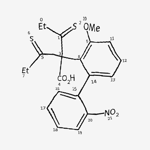 CCC(=S)C(C(=O)O)(C(=S)CC)c1c(OC)cccc1-c1ccccc1[N+](=O)[O-]